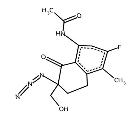 CC(=O)Nc1cc(F)c(C)c2c1C(=O)C(CO)(N=[N+]=[N-])CC2